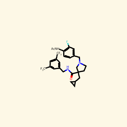 CC(=O)Nc1ccc(CN2CCC(CC3CC3)(C(=O)NCc3cc(C(F)(F)F)cc(C(F)(F)F)c3)C2)cc1F